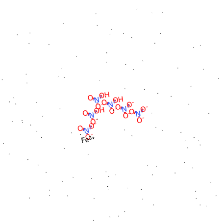 O=[N+]([O-])O.O=[N+]([O-])O.O=[N+]([O-])O.O=[N+]([O-])[O-].O=[N+]([O-])[O-].O=[N+]([O-])[O-].[Fe+3]